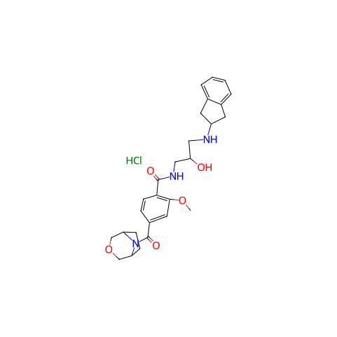 COc1cc(C(=O)N2C3CCC2COC3)ccc1C(=O)NCC(O)CNC1Cc2ccccc2C1.Cl